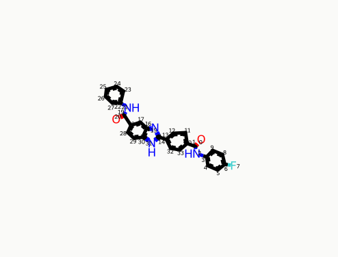 O=C(Nc1ccc(F)cc1)c1ccc(-c2nc3cc(C(=O)Nc4ccccc4)ccc3[nH]2)cc1